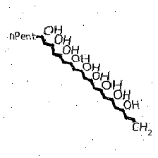 C=CCC(O)CC(O)CC(O)CC(O)CC(O)CC(O)CC(O)CC(O)CC(O)CCCCC